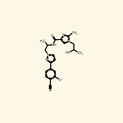 Cc1nc(C(=O)NC(C)Cn2ccc(-c3ccc(C#N)c(Cl)c3)n2)cn1CC(C)O